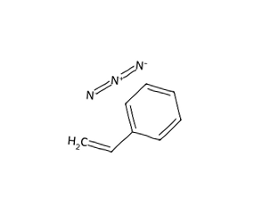 C=Cc1ccccc1.[N-]=[N+]=[N-]